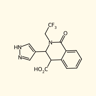 O=C(O)C1c2ccccc2C(=O)N(CC(F)(F)F)C1c1cn[nH]c1